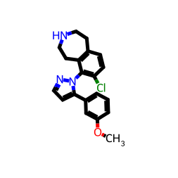 COc1cccc(-c2ccnn2-c2c(Cl)ccc3c2CCNCC3)c1